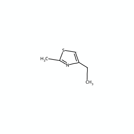 CCc1[c]sc(C)n1